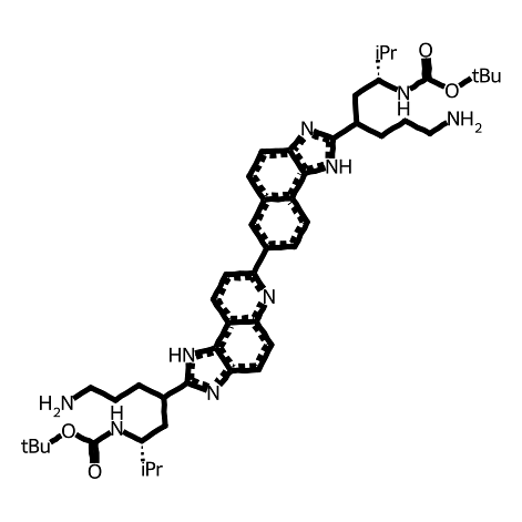 CC(C)[C@@H](CC(CCCN)c1nc2ccc3cc(-c4ccc5c(ccc6nc(C(CCCN)C[C@@H](NC(=O)OC(C)(C)C)C(C)C)[nH]c65)n4)ccc3c2[nH]1)NC(=O)OC(C)(C)C